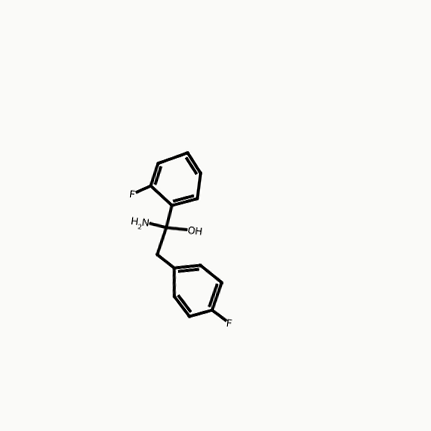 NC(O)(Cc1ccc(F)cc1)c1ccccc1F